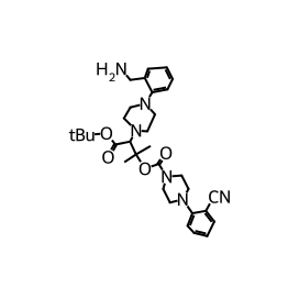 CC(C)(C)OC(=O)C(N1CCN(c2ccccc2CN)CC1)C(C)(C)OC(=O)N1CCN(c2ccccc2C#N)CC1